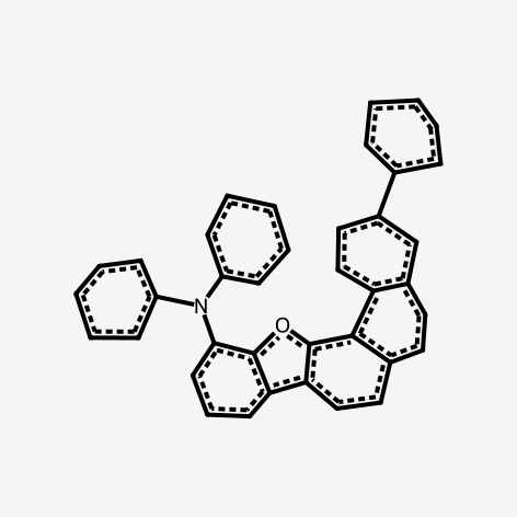 c1ccc(-c2ccc3c(ccc4ccc5c6cccc(N(c7ccccc7)c7ccccc7)c6oc5c43)c2)cc1